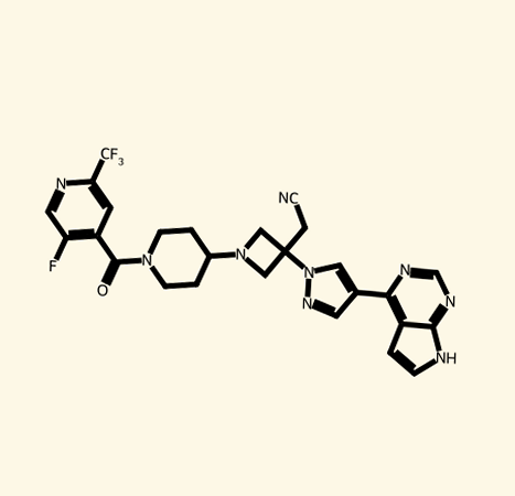 N#CCC1(n2cc(-c3ncnc4[nH]ccc34)cn2)CN(C2CCN(C(=O)c3cc(C(F)(F)F)ncc3F)CC2)C1